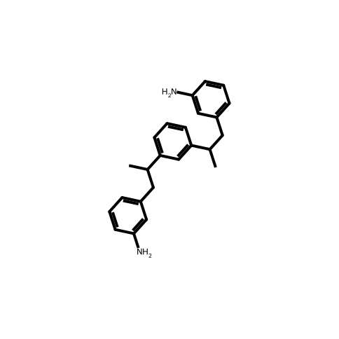 CC(Cc1cccc(N)c1)c1cccc(C(C)Cc2cccc(N)c2)c1